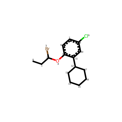 CCC(Br)Oc1ccc(Cl)cc1C1CCCCC1